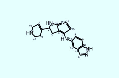 C1=C(C2Cc3c(Nc4ccc5[nH]ncc5c4)ccnc3N2)CCNC1